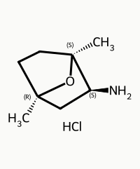 C[C@]12CC[C@](C)(O1)[C@@H](N)C2.Cl